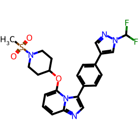 CS(=O)(=O)N1CCC(Oc2cccc3ncc(-c4ccc(-c5cnn(C(F)F)c5)cc4)n23)CC1